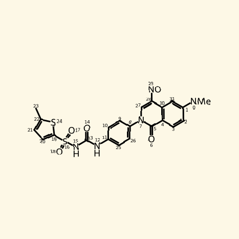 CNc1ccc2c(=O)n(-c3ccc(NC(=O)NS(=O)(=O)c4ccc(C)s4)cc3)cc(N=O)c2c1